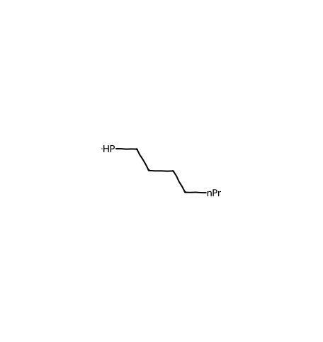 CCCCCCC[PH]